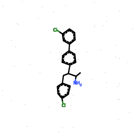 CC(N)C(Cc1ccc(Cl)cc1)c1ccc(-c2cccc(Cl)c2)cc1